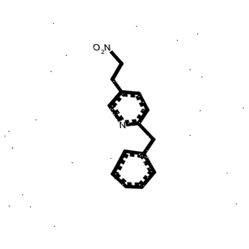 O=[N+]([O-])CCc1ccc(Cc2ccccc2)nc1